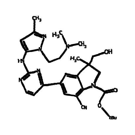 Cc1cc(Nc2nccc(-c3cc(C#N)c4c(c3)C(C)(CO)CN4C(=O)OC(C)(C)C)n2)n(CCN(C)C)n1